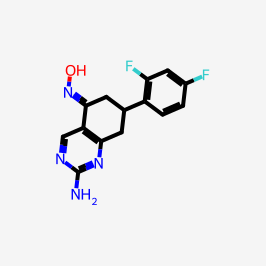 Nc1ncc2c(n1)CC(c1ccc(F)cc1F)CC2=NO